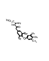 Cc1cc(Oc2c(Br)cc(CC(=O)N[C@H](C(=O)O)C(C)C)cc2Br)cc(C(C)C)c1O